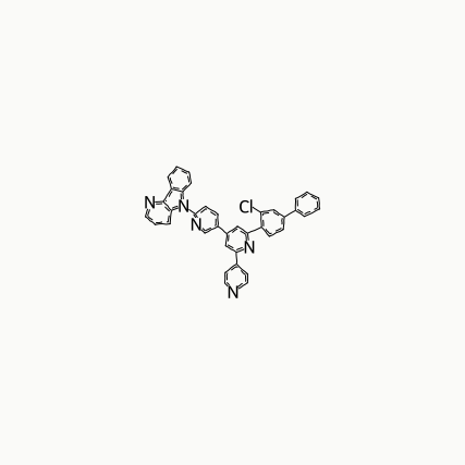 Clc1cc(-c2ccccc2)ccc1-c1cc(-c2ccc(-n3c4ccccc4c4ncccc43)nc2)cc(-c2ccncc2)n1